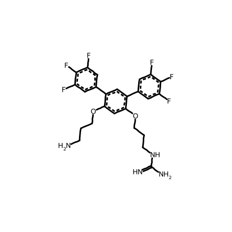 N=C(N)NCCCOc1cc(OCCCN)c(-c2cc(F)c(F)c(F)c2)cc1-c1cc(F)c(F)c(F)c1